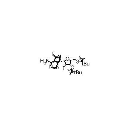 CC(C)(C)[Si](C)(C)OC[C@H]1O[C@@H](n2nc(I)c3c(N)ncnc32)[C@@H](F)[C@@H]1O[Si](C)(C)C(C)(C)C